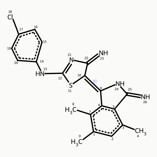 Cc1cc(C)c2c(c1C)/C(=C1\SC(Nc3ccc(Cl)cc3)=NC1=N)NC2=N